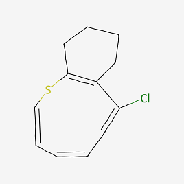 Clc1cccccsc2c1CCCC2